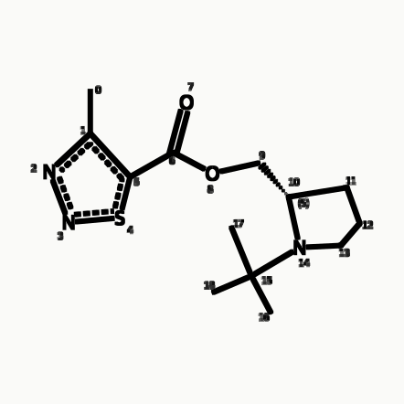 Cc1nnsc1C(=O)OC[C@@H]1CCCN1C(C)(C)C